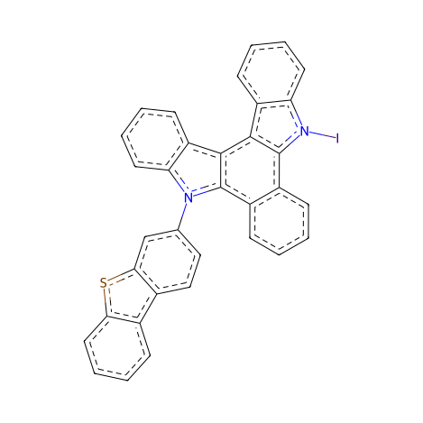 In1c2ccccc2c2c3c4ccccc4n(-c4ccc5c(c4)sc4ccccc45)c3c3ccccc3c21